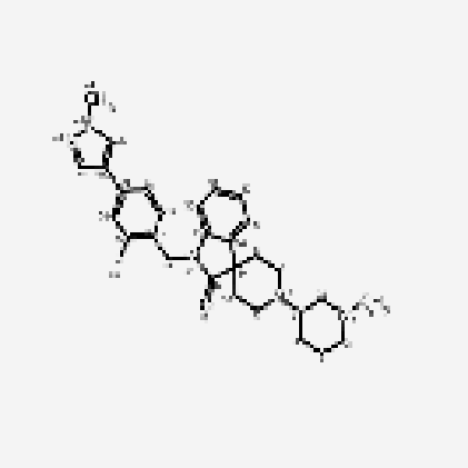 CN1CCCC(N2CCC3(CC2)C(=O)N(Cc2ccc(-c4cnn(C)c4)cc2F)c2ccccc23)C1